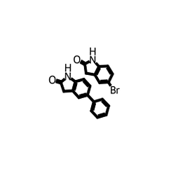 O=C1Cc2cc(-c3ccccc3)ccc2N1.O=C1Cc2cc(Br)ccc2N1